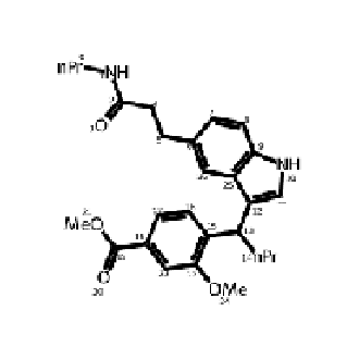 CCCNC(=O)CCc1ccc2[nH]cc(C(CCC)c3ccc(C(=O)OC)cc3OC)c2c1